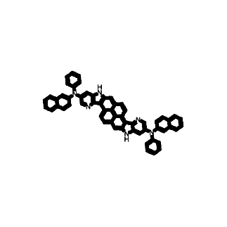 c1ccc(N(c2ccc3ccccc3c2)c2cnc3c(c2)[nH]c2cc4ccc5c6c(cc7ccc(c23)c4c75)[nH]c2cc(N(c3ccccc3)c3ccc4ccccc4c3)cnc26)cc1